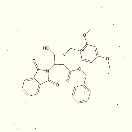 COc1ccc(CN2C(O)C(N3C(=O)c4ccccc4C3=O)C2C(=O)OCc2ccccc2)c(OC)c1